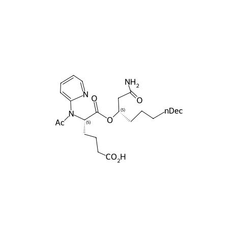 CCCCCCCCCCCCC[C@@H](CC(N)=O)OC(=O)[C@H](CCCC(=O)O)N(C(C)=O)c1ccccn1